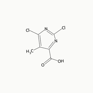 Cc1c(Cl)nc(Cl)nc1C(=O)O